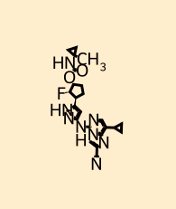 CC1(NC(=O)O[C@H]2CC[C@@H](c3cc(Nc4ncc(C5CC5)c5nc(C#N)cn45)n[nH]3)[C@@H]2F)CC1